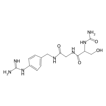 N=C(N)Nc1ccc(CNC(=O)CNC(=O)C(CO)NC(N)=O)cc1